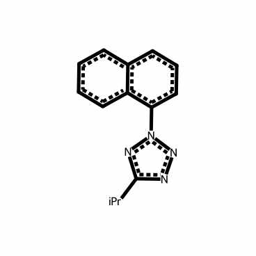 CC(C)c1nnn(-c2cccc3ccccc23)n1